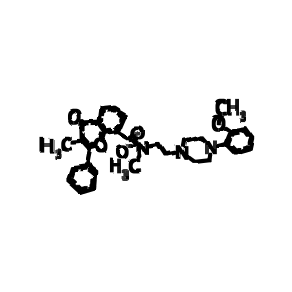 COc1ccccc1N1CCN(CCN(C)S(=O)(=O)c2cccc3c(=O)c(C)c(-c4ccccc4)oc23)CC1